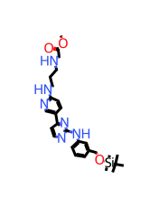 COC(=O)CNCCCNc1ccc(-c2ccnc(Nc3cccc(CO[Si](C)(C)C(C)(C)C)c3)n2)cn1